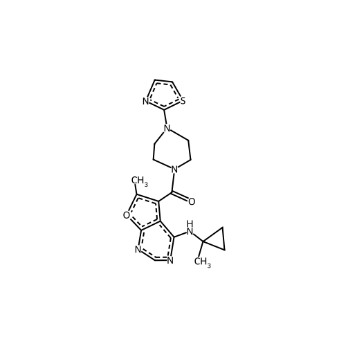 Cc1oc2ncnc(NC3(C)CC3)c2c1C(=O)N1CCN(c2nccs2)CC1